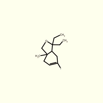 CCC1(CC)OCC2(C)CC=C(I)CC21